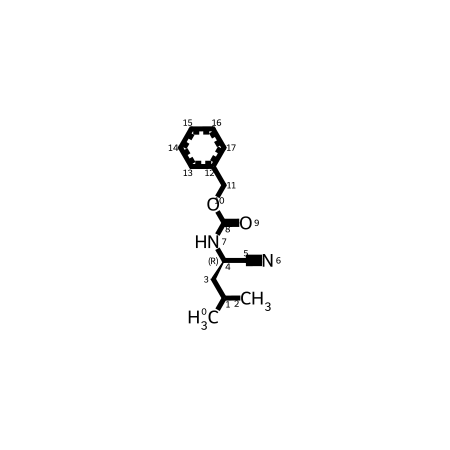 CC(C)C[C@H](C#N)NC(=O)OCc1ccccc1